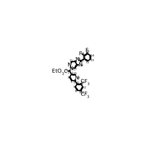 CCOC(=O)C(c1ccc(-c2ccc(C(F)(F)F)cc2C(F)(F)F)nc1)n1cc2nc(-c3cccc(F)c3F)nc-2cn1